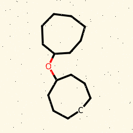 C1CCCC(OC2CCCCCCC2)CCC1